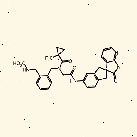 O=C(O)NCc1ccccc1CN(CC(=O)Nc1ccc2c(c1)CC1(C2)C(=O)Nc2ncccc21)C(=O)C1(C(F)(F)F)CC1